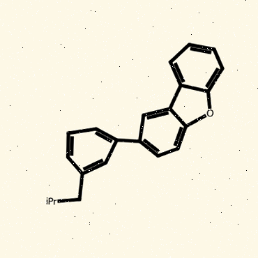 CC(C)Cc1cccc(-c2ccc3oc4ccccc4c3c2)c1